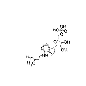 C=C(C)CCNc1ncnc2c1ncn2[C@@H]1O[C@H](COP(=O)(O)O)[C@@H](O)[C@H]1O